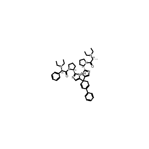 CCN(CC)[C@H](C)C(=O)N1CCC[C@H]1c1ncc(C2(c3cnc([C@@H]4CCCN4C(=O)[C@@H](c4ccccc4)N(CC)CC)[nH]3)C=CC(c3ccccc3)=CC2)[nH]1